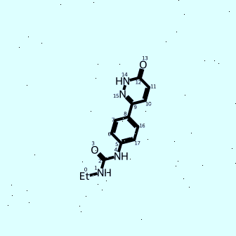 CCNC(=O)Nc1ccc(-c2ccc(=O)[nH]n2)cc1